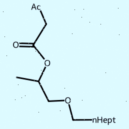 CCCCCCCCOCC(C)OC(=O)CC(C)=O